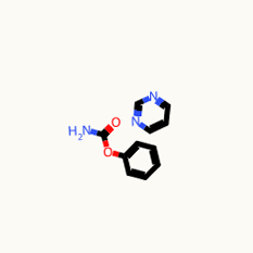 NC(=O)Oc1ccccc1.c1cncnc1